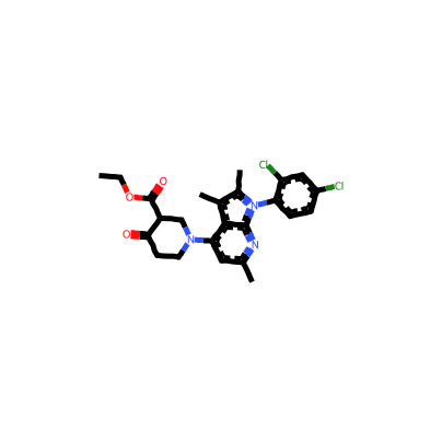 CCOC(=O)C1CN(c2cc(C)nc3c2c(C)c(C)n3-c2ccc(Cl)cc2Cl)CCC1=O